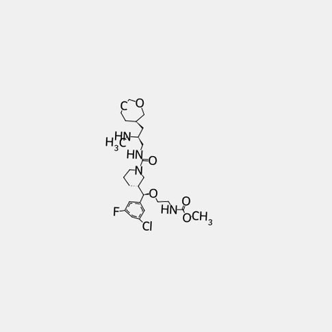 CN[C@H](CNC(=O)N1CCC[C@@H]([C@@H](OCCNC(=O)OC)c2cc(F)cc(Cl)c2)C1)C[C@H]1CCCCOC1